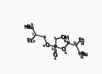 CCCCC(CC)COP(=O)(CO)OCC(CC)CCCC